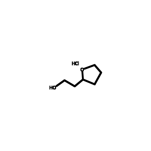 Cl.OCCC1CCCO1